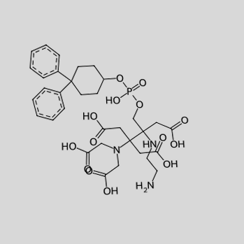 NCCNC(COP(=O)(O)OC1CCC(c2ccccc2)(c2ccccc2)CC1)(CC(=O)O)C(CC(=O)O)(CC(=O)O)N(CC(=O)O)CC(=O)O